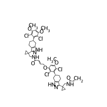 C=CC(=O)NCC1(c2n[nH]c3c2CC[C@H](c2c(Cl)c(OC)cc(OC/C=C/C(=O)NCC4(c5n[nH]c6c5CC[C@@H](c5c(Cl)c(OC)cc(OC)c5Cl)C6)CC4)c2Cl)C3)CC1